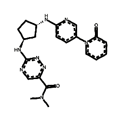 CN(C)C(=O)c1cnc(N[C@H]2CC[C@H](Nc3ccc(-n4ccccc4=O)cn3)C2)nn1